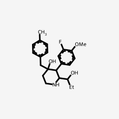 CCC(O)C1NCCC(O)(Cc2ccc(C)cc2)C1c1ccc(OC)c(F)c1